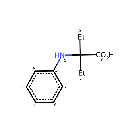 CCC(CC)(Nc1ccccc1)C(=O)O